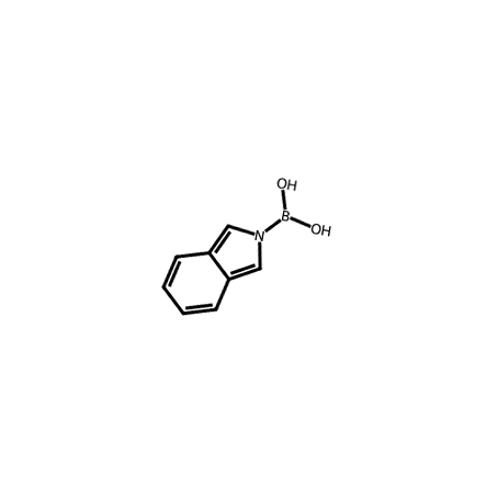 OB(O)n1cc2ccccc2c1